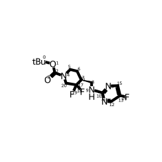 CC(C)(C)OC(=O)N1CC[C@@H](CNc2ncc(F)cn2)C(F)(F)C1